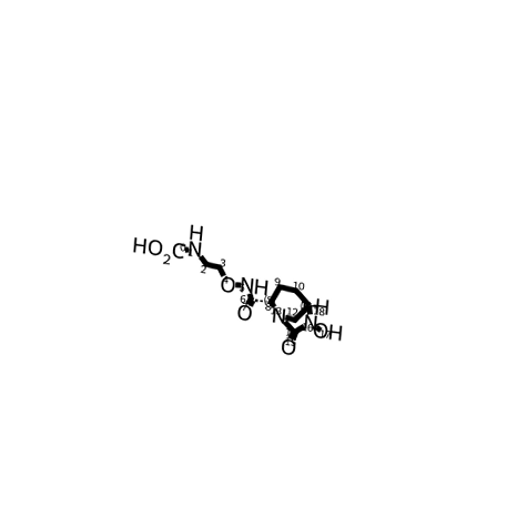 O=C(O)NCCONC(=O)[C@@H]1CC[C@@H]2CN1C(=O)N2O